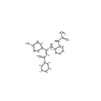 CC(=O)Nc1ccccc1NC(=CC(=O)c1ccccc1)c1ccc(F)cc1